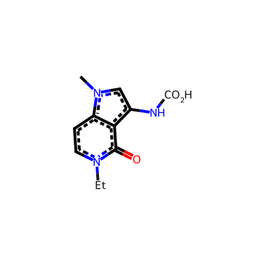 CCn1ccc2c(c(NC(=O)O)cn2C)c1=O